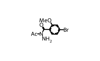 COc1cc(Br)ccc1C(=O)N(N)C(C)=O